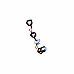 c1ccc(COc2ccc(-c3nnc(OC4C5CC6CC4CN(C6)C5)s3)cc2)cc1